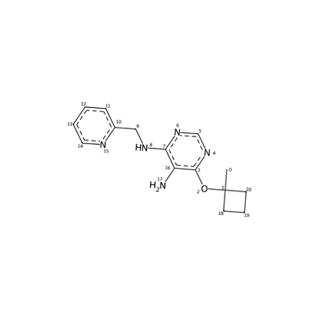 CC1(Oc2ncnc(NCc3ccccn3)c2N)CCC1